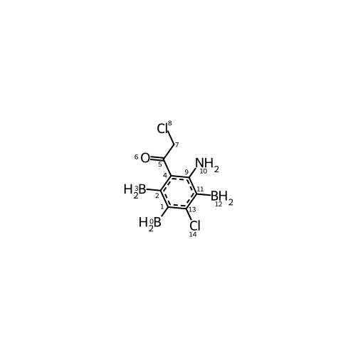 Bc1c(B)c(C(=O)CCl)c(N)c(B)c1Cl